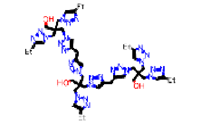 CCc1cn(CC(CO)(Cn2cc(CC)nn2)Cn2cc(Cc3cn(CC(CO)(Cn4cc(CC)nn4)Cn4cc(Cc5cn(CC(CO)(Cn6cc(CC)nn6)Cn6cc(CC)nn6)nn5)nn4)nn3)nn2)nn1